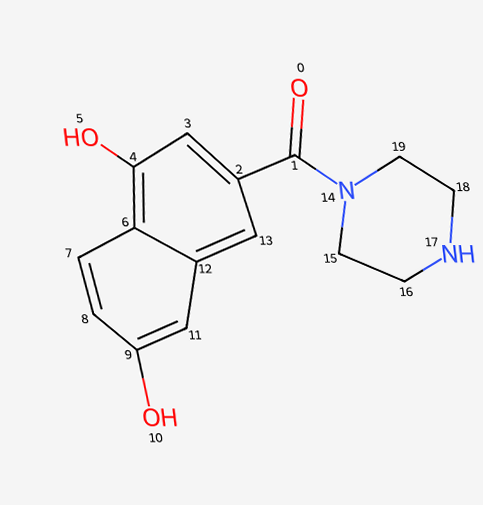 O=C(c1cc(O)c2ccc(O)cc2c1)N1CCNCC1